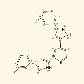 Cc1cccc(-c2cc(-c3cccc(-c4cc(-c5cccc(C)c5)n[nH]4)c3)[nH]n2)c1